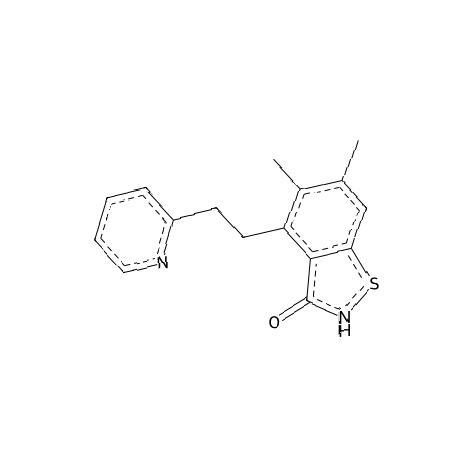 Cc1cc2s[nH]c(=O)c2c(CCc2ccccn2)c1C